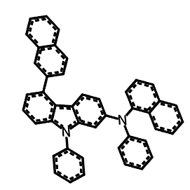 c1ccc(N(c2ccc3c4c(-c5ccc6ccccc6c5)cccc4n(-c4ccccc4)c3c2)c2cccc3ccccc23)cc1